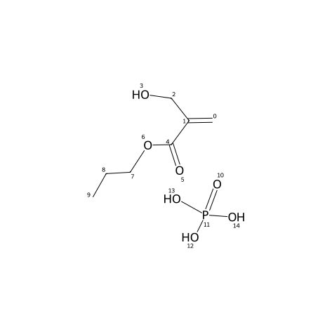 C=C(CO)C(=O)OCCC.O=P(O)(O)O